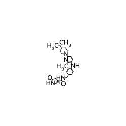 Cc1nc(N2CCC(C(C)C)CC2)ccc1Nc1ccc(CNC(=O)[C@H]2CNC(=O)C2)cc1